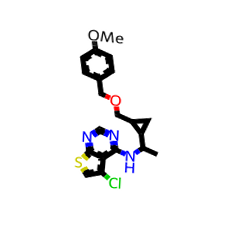 COc1ccc(COCC2CC2C(C)Nc2ncnc3scc(Cl)c23)cc1